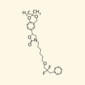 CC1(C)OCc2cc(C3CN(CCCCCCOCC(F)(F)Cc4ccccc4)C(=O)O3)ccc2O1